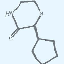 O=C1NCC[N]C1C1CCCC1